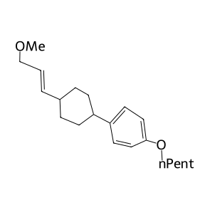 CCCCCOc1ccc(C2CCC(/C=C/COC)CC2)cc1